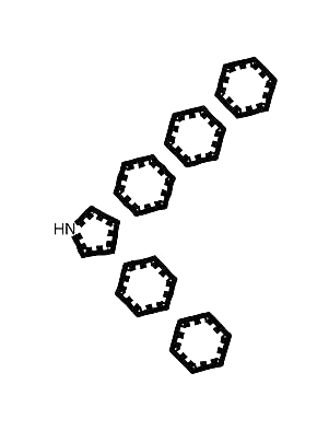 c1cc[nH]c1.c1ccccc1.c1ccccc1.c1ccccc1.c1ccccc1.c1ccccc1